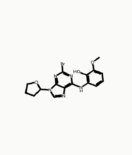 COc1cccc(Nc2nc(Br)nc3c2ncn3C2CCCO2)c1O